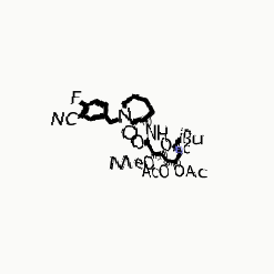 CCC(C)/C=C/[C@@H](OC(C)=O)[C@H](OC(C)=O)[C@@H](OC(C)=O)[C@@H](OC)C(=O)N[C@H]1CCCCN(Cc2ccc(F)c(C#N)c2)C1=O